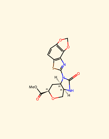 COC(=O)[C@H]1C[C@@H]2[C@H](CO1)NC(=O)N2c1nc2c3c(ccc2s1)OCO3